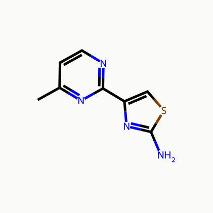 Cc1ccnc(-c2csc(N)n2)n1